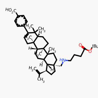 C=C(C)[C@@H]1CC[C@]2(CNCCCC(=O)OC(C)(C)C)CC[C@]3(C)[C@H](CC[C@@H]4[C@@]5(C)CC=C(c6ccc(C(=O)O)cc6)C(C)(C)[C@@H]5CC[C@]43C)[C@@H]12